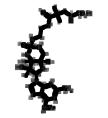 CCOC(=O)NCC(C)(C)C(=O)SCCO[P@@]1(=O)OC[C@H]2O[C@@H](n3cnc4c(OC)nc(N)nc43)[C@](C)(O)[C@@H]2O1